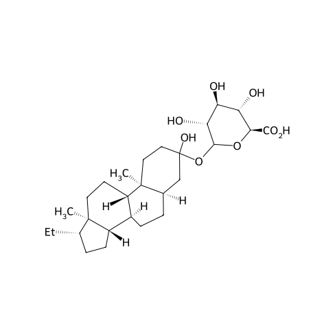 CC[C@H]1CC[C@H]2[C@@H]3CC[C@@H]4CC(O)(OC5O[C@H](C(=O)O)[C@@H](O)[C@H](O)[C@H]5O)CC[C@]4(C)[C@H]3CC[C@]12C